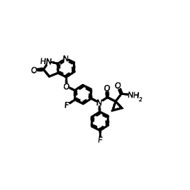 NC(=O)C1(C(=O)N(c2ccc(F)cc2)c2ccc(Oc3ccnc4c3CC(=O)N4)c(F)c2)CC1